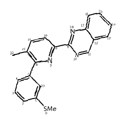 CSc1cccc(-c2nc(-c3ncc4ccccc4n3)ccc2C)c1